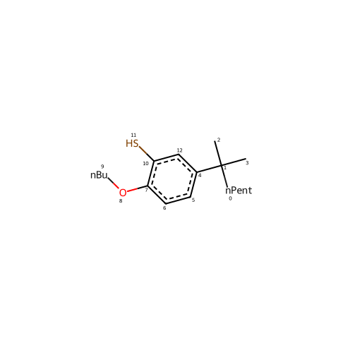 CCCCCC(C)(C)c1ccc(OCCCC)c(S)c1